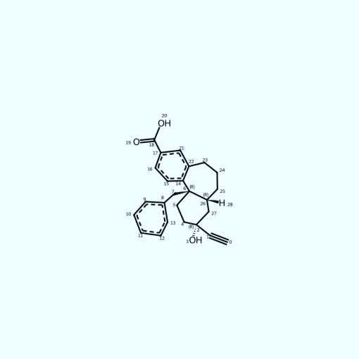 C#C[C@@]1(O)CC[C@]2(Cc3ccccc3)c3ccc(C(=O)O)cc3CCC[C@@H]2C1